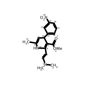 COC(=O)C1=C(C=CN(C)C)NC(C)=CC1c1cccc([N+](=O)[O-])c1